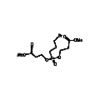 COC(=O)CCOP(=O)(CCCBr)OCCC(=O)OC